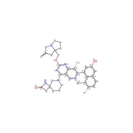 C=C1CN2CCCC2(COc2nc(N3CCCC4(CC(=O)N4)C3)c3cnc(-c4cc(O)cc5ccc(F)c(CC)c45)c(F)c3n2)C1